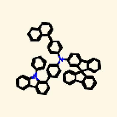 c1ccc(-n2c3ccccc3c3cccc(-c4ccc(N(c5ccc(-c6cccc7ccccc67)cc5)c5ccc6c(c5)C5(c7ccccc7-c7ccccc75)c5ccccc5-6)cc4)c32)cc1